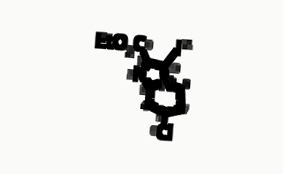 CCOC(=O)c1nc2cc(Cl)ccn2c1I